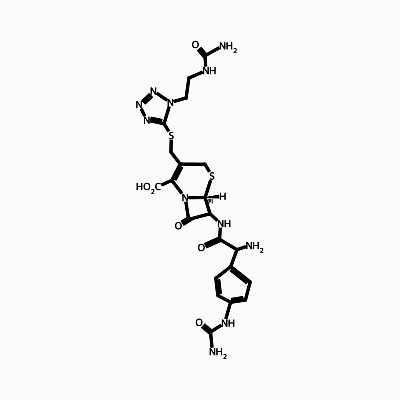 NC(=O)NCCn1nnnc1SCC1=C(C(=O)O)N2C(=O)C(NC(=O)C(N)c3ccc(NC(N)=O)cc3)[C@H]2SC1